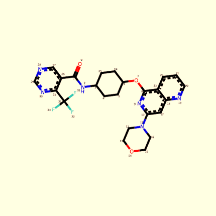 O=C(NC1CCC(Oc2nc(N3CCOCC3)cc3ncccc23)CC1)c1cncnc1C(F)(F)F